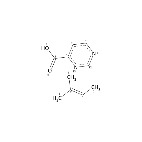 CC=C(C)C.O=C(O)c1ccncn1